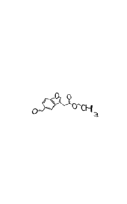 CCOC(=O)Cc1coc2ccc(C=O)cc12